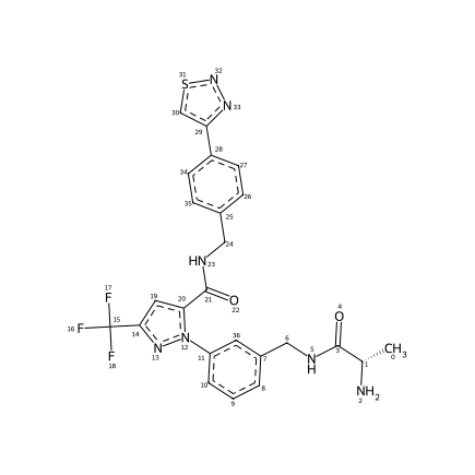 C[C@H](N)C(=O)NCc1cccc(-n2nc(C(F)(F)F)cc2C(=O)NCc2ccc(-c3csnn3)cc2)c1